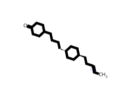 C/C=C/CC[C@H]1CC[C@H](CCCCC2CCC(=O)CC2)CC1